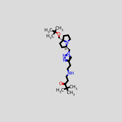 CC(C)(C)OC[C@]12CCCN1[C@@H](Cn1cc(CCNCCC(=O)C(C)(C)C)nn1)CC2